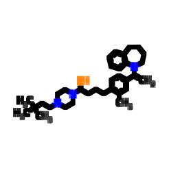 C=C(c1ccc(CCCC(=P)N2CCN(CCC(C)(C)C)CC2)c(C)c1)N1CCCCc2ccccc21